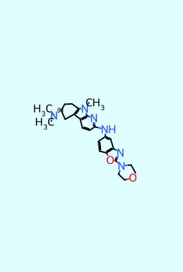 CN(C)[C@@H]1CCc2c(c3ccc(Nc4ccc5oc(N6CCOCC6)nc5c4)nc3n2C)C1